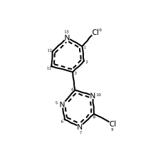 Clc1cc(-c2ncnc(Cl)n2)ccn1